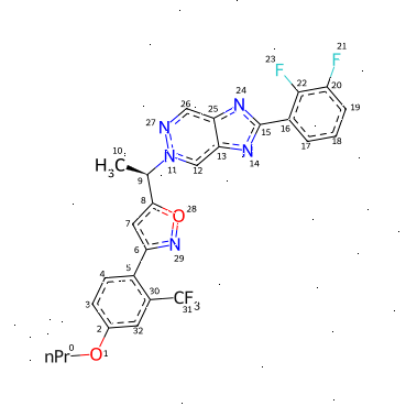 CCCOc1ccc(-c2cc([C@@H](C)n3cc4nc(-c5cccc(F)c5F)nc-4cn3)on2)c(C(F)(F)F)c1